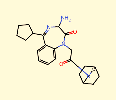 NC1N=C(C2CCCC2)c2ccccc2N(CC(=O)N2CC3CCC(CC3)C2)C1=O